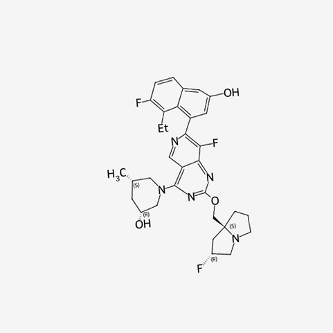 CCc1c(F)ccc2cc(O)cc(-c3ncc4c(N5C[C@@H](C)C[C@@H](O)C5)nc(OC[C@@]56CCCN5C[C@H](F)C6)nc4c3F)c12